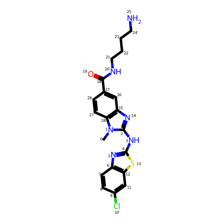 Cn1c(Nc2nc3ccc(Cl)cc3s2)nc2cc(C(=O)NCCCCN)ccc21